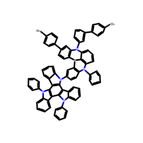 CC(C)(C)c1ccc(-c2cccc(N3c4cc(-c5ccc(C(C)(C)C)cc5)ccc4B4c5cc(-n6c7ccccc7c7c8c(c9ccccc9n8-c8ccccc8)c8c(c9ccccc9n8-c8ccccc8)c76)ccc5N(c5ccccc5)c5cccc3c54)c2)cc1